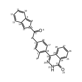 Cc1cc(CC(=O)n2cc3ccccc3c2)ccc1-c1n[nH]c(=O)c2ccccc12